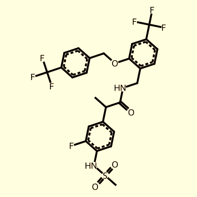 CC(C(=O)NCc1ccc(C(F)(F)F)cc1OCc1ccc(C(F)(F)F)cc1)c1ccc(NS(C)(=O)=O)c(F)c1